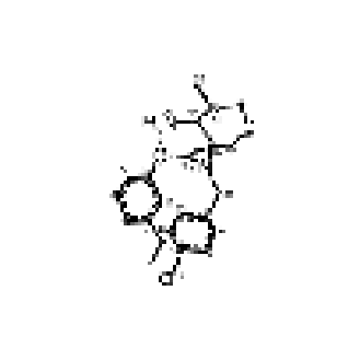 CCc1cccc(O[C@H]2N(Cc3ccc(Cl)cc3)C23COCN(C)C3N)c1